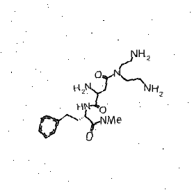 CNC(=O)[C@H](CCc1ccccc1)NC(=O)C(N)CC(=O)N(CCN)CCN